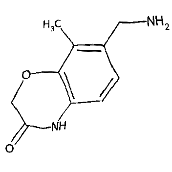 Cc1c(CN)ccc2c1OCC(=O)N2